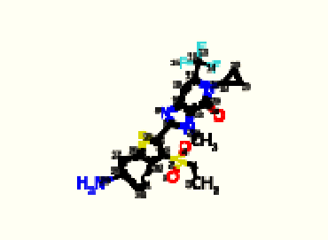 CCS(=O)(=O)c1c(-c2nc3cc(C(F)(F)F)n(C4CC4)c(=O)c3n2C)sc2cc(N)ccc12